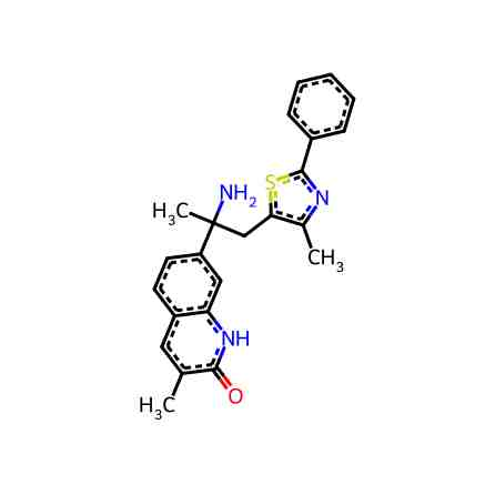 Cc1nc(-c2ccccc2)sc1CC(C)(N)c1ccc2cc(C)c(=O)[nH]c2c1